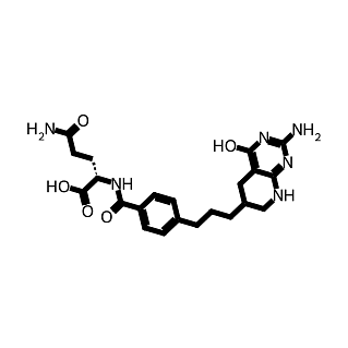 NC(=O)CC[C@H](NC(=O)c1ccc(CCCC2CNc3nc(N)nc(O)c3C2)cc1)C(=O)O